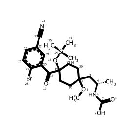 COC1(C[C@H](C)NC(=O)O)CCC(O[Si](C)(C)C)(C(=O)c2cc(C#N)ccc2Br)CC1